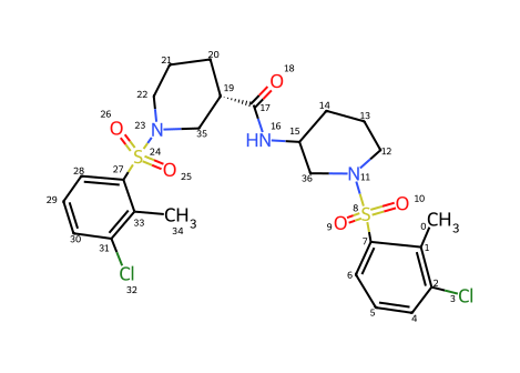 Cc1c(Cl)cccc1S(=O)(=O)N1CCCC(NC(=O)[C@H]2CCCN(S(=O)(=O)c3cccc(Cl)c3C)C2)C1